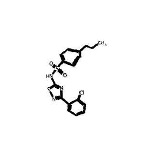 CCCc1ccc(S(=O)(=O)Nc2nc(-c3ccccc3Cl)ns2)cc1